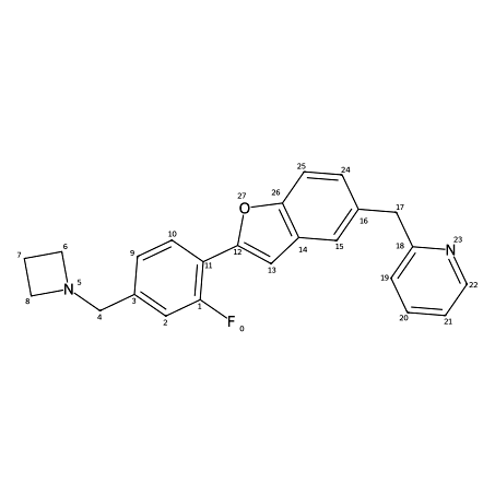 Fc1cc(CN2CCC2)ccc1-c1cc2cc(Cc3ccccn3)ccc2o1